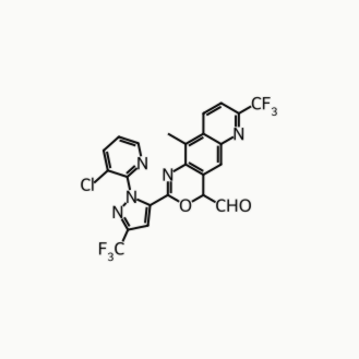 Cc1c2c(cc3nc(C(F)(F)F)ccc13)C(C=O)OC(c1cc(C(F)(F)F)nn1-c1ncccc1Cl)=N2